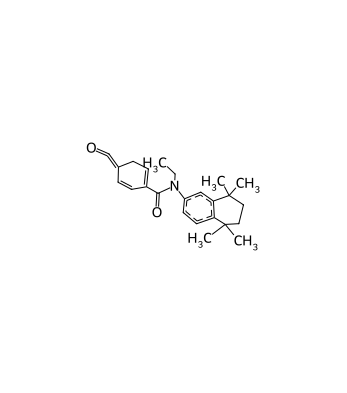 CCN(C(=O)C1=CCC(=C=O)C=C1)c1ccc2c(c1)C(C)(C)CCC2(C)C